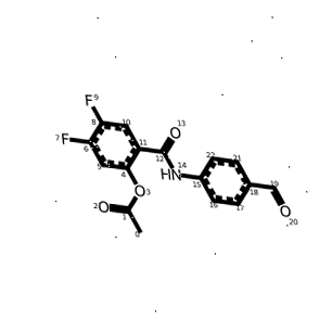 CC(=O)Oc1cc(F)c(F)cc1C(=O)Nc1ccc(C=O)cc1